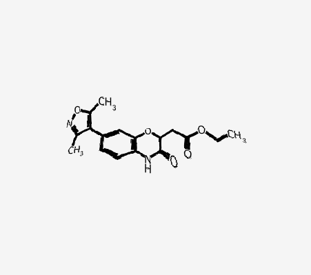 CCOC(=O)CC1Oc2cc(-c3c(C)noc3C)ccc2NC1=O